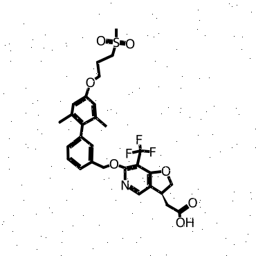 Cc1cc(OCCCS(C)(=O)=O)cc(C)c1-c1cccc(COc2ncc3c(c2C(F)(F)F)OC[C@H]3CC(=O)O)c1